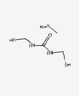 COC.O=C(NCO)NCO